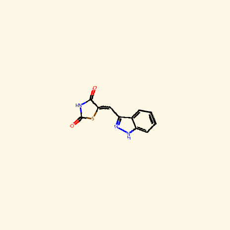 O=C1NC(=O)/C(=C/c2n[nH]c3ccccc23)S1